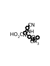 CN(c1ccc(-c2nc(C(=O)O)cc3c2[nH]c2cc(C#N)ccc23)cc1)S(=O)(=O)c1ccccc1